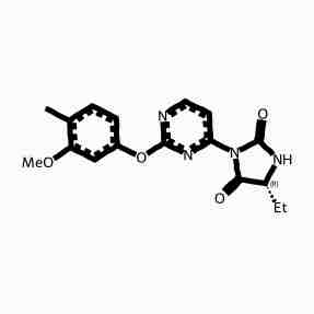 CC[C@H]1NC(=O)N(c2ccnc(Oc3ccc(C)c(OC)c3)n2)C1=O